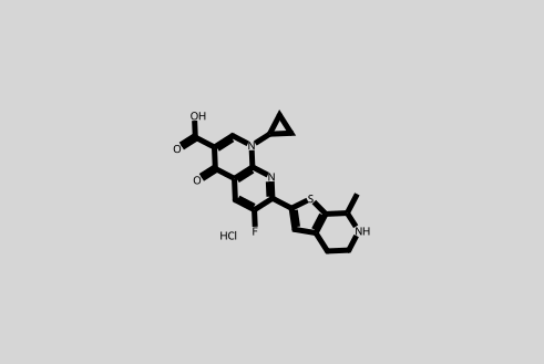 CC1NCCc2cc(-c3nc4c(cc3F)c(=O)c(C(=O)O)cn4C3CC3)sc21.Cl